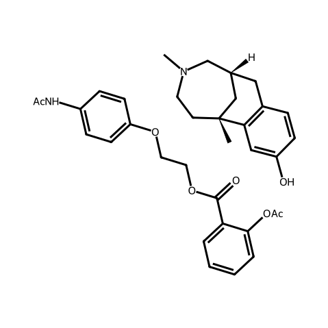 CC(=O)Nc1ccc(OCCOC(=O)c2ccccc2OC(C)=O)cc1.CN1CC[C@]2(C)C[C@@H](Cc3ccc(O)cc32)C1